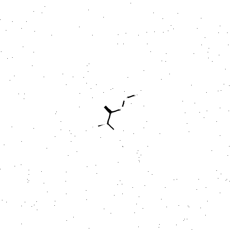 CCC[C@H](C)C(=O)NOCC